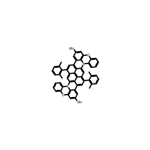 Cc1cccc(C)c1-c1cc2c3c(cc4c(-c5c(C)cccc5C)cc5c6c(cc1c3c46)B1c3ccccc3Oc3cc(C(C)(C)C)cc-5c31)B1c3ccccc3Oc3cc(C(C)(C)C)cc-2c31